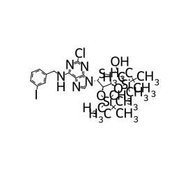 CC(C)(C)[Si](C)(C)O[C@@H]1[C@H](O[Si](C)(C)C(C)(C)C)[C@@H](CO)S[C@H]1n1cnc2c(NCc3cccc(I)c3)nc(Cl)nc21